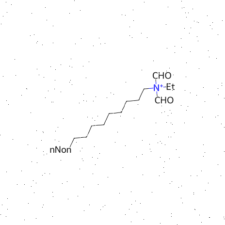 CCCCCCCCCCCCCCCCCC[N+](C=O)(C=O)CC